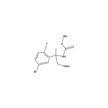 CNCC(C)(NC(=O)OC(C)(C)C)c1cc(Br)ccc1F